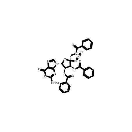 CC(=O)Nc1nc2c(ncn2[C@@H]2O[C@@](COC(=O)c3ccccc3)(N=[N+]=[N-])[C@@H](OC(=O)c3ccccc3)[C@H]2OC(=O)c2ccccc2)c(=O)[nH]1